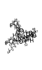 C=CCCCCC[C@H](Nc1ccc(F)cc1)C(=O)N1C[C@H](OC(=O)N2Cc3cccc(F)c3C2)C[C@H]1C(=O)N[C@]1(C(=O)NS(=O)(=O)C2CC2)C[C@@H]1C=C